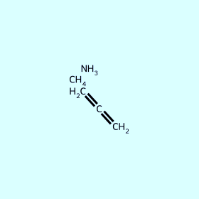 C.C=C=C.N